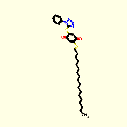 CCCCCCCCCCCCCCCCCCSC1=CC(=O)C(Sc2nnnn2-c2ccccc2)=CC1=O